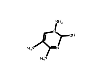 NC1=CN(N)C(O)N=C1N